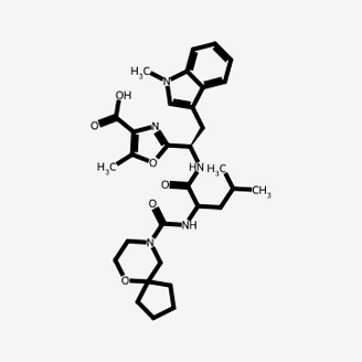 Cc1oc([C@@H](Cc2cn(C)c3ccccc23)NC(=O)C(CC(C)C)NC(=O)N2CCOC3(CCCC3)C2)nc1C(=O)O